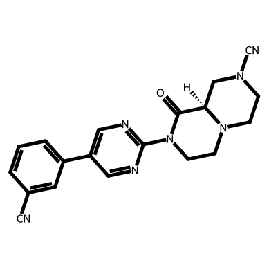 N#Cc1cccc(-c2cnc(N3CCN4CCN(C#N)C[C@@H]4C3=O)nc2)c1